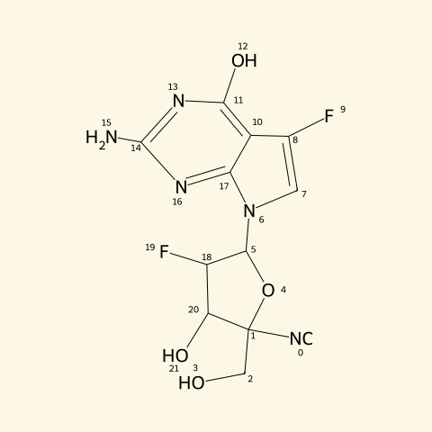 [C-]#[N+]C1(CO)OC(n2cc(F)c3c(O)nc(N)nc32)C(F)C1O